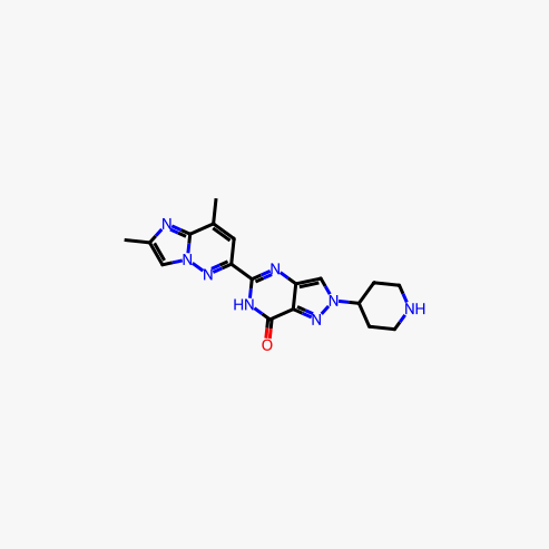 Cc1cn2nc(-c3nc4cn(C5CCNCC5)nc4c(=O)[nH]3)cc(C)c2n1